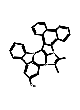 Cc1c(C)n2c3c4ccccc4c4ccccc4c3c3c2n1-c1cc(C(C)(C)C)cc2c1B3c1ccccc1-2